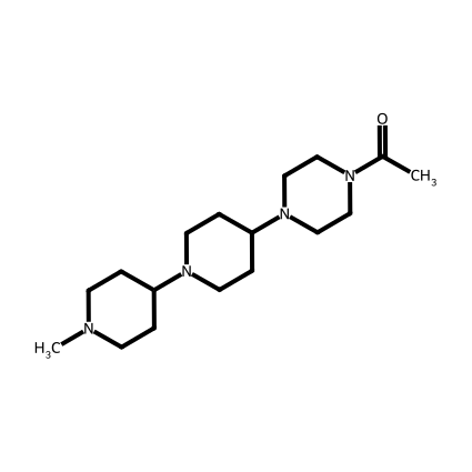 CC(=O)N1CCN(C2CCN(C3CCN(C)CC3)CC2)CC1